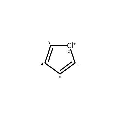 C1=C[Cl+]C=C1